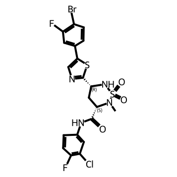 CN1[C@H](C(=O)Nc2ccc(F)c(Cl)c2)C[C@H](c2ncc(-c3ccc(Br)c(F)c3)s2)NS1(=O)=O